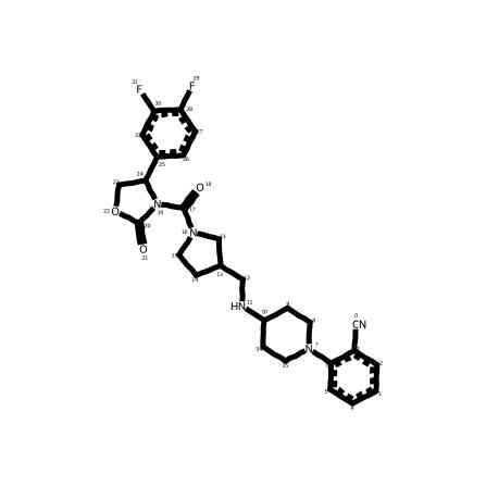 N#Cc1ccccc1N1CCC(NCC2CCN(C(=O)N3C(=O)OCC3c3ccc(F)c(F)c3)C2)CC1